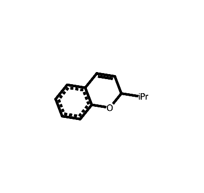 CC(C)C1C=Cc2ccccc2O1